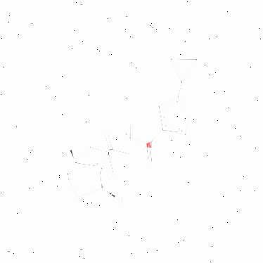 CC(C)(C)OC(=O)N1[C@@H]2CC[C@H]1C[C@@H](NC(=O)c1cc(C3CC3)on1)C2